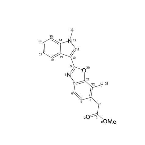 COC(=O)Cc1ccc2nc(-c3cn(C)c4ccccc34)oc2c1F